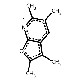 Cc1cc2c(C)c(C)oc2nc1C